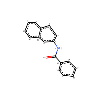 O=C(Nc1ccc2cc[c]cc2c1)c1ccccc1